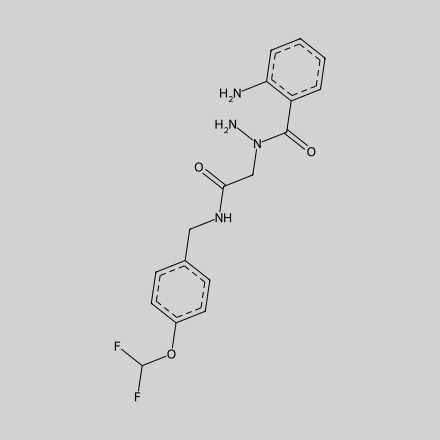 Nc1ccccc1C(=O)N(N)CC(=O)NCc1ccc(OC(F)F)cc1